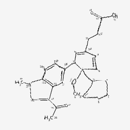 COC1(C2CCCC2)C=CC(CCC(=O)O)=CC1c1ccc2c(c1)c(C(C)=O)cn2C